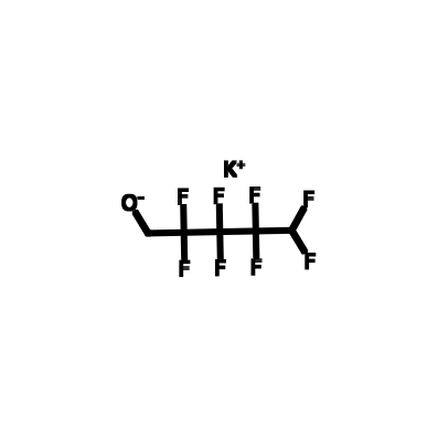 [K+].[O-]CC(F)(F)C(F)(F)C(F)(F)C(F)F